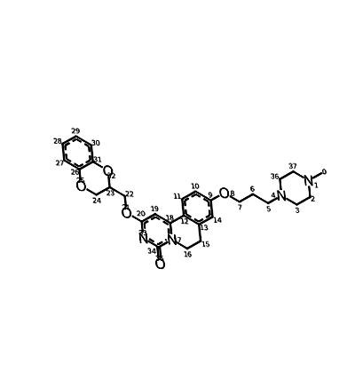 CN1CCN(CCCOc2ccc3c(c2)CCn2c-3cc(OCC3COc4ccccc4O3)nc2=O)CC1